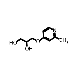 Cc1cc(OCC(O)CO)ccn1